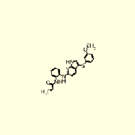 C=CC(=O)Nc1ccccc1Nc1ccc2c(Sc3cccc(OC)c3)c[nH]c2n1